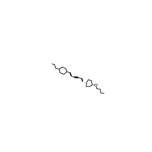 CCCCO[C@H]1CC[C@H](C=CC#CC=CC2CCC(CCC)CC2)CC1